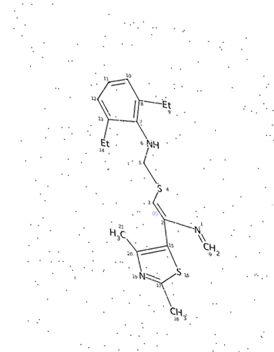 C=N/C(=C\SCNc1c(CC)cccc1CC)c1sc(C)nc1C